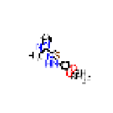 BC1(B)Oc2ccc(Nc3nc(-c4c(C)nc5ccccn45)cs3)cc2O1